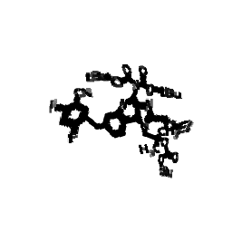 CCOCc1nc2c(N(C(=O)OC(C)(C)C)C(=O)OC(C)(C)C)nc3cc(Cc4cc(C#N)c(F)cc4F)ccc3c2n1CC(C)(C)OC(=O)OC(C)(C)C